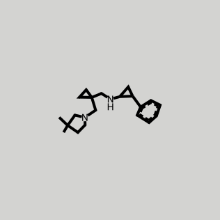 CC1(C)CCN(CC2(CNC3CC3c3ccccc3)CC2)C1